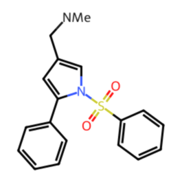 CNCc1cc(-c2ccccc2)n(S(=O)(=O)c2ccccc2)c1